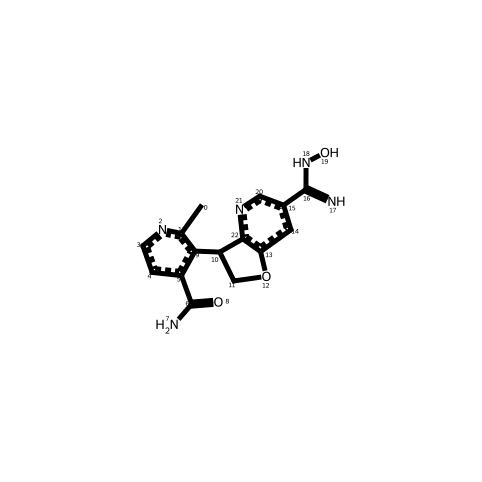 Cc1nccc(C(N)=O)c1C1COc2cc(C(=N)NO)cnc21